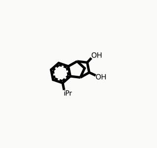 CC(C)c1cccc2c1C1CC2C(O)C1O